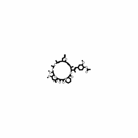 C=CCC1C=C(C)CC(C)CC(OC)C2OC(O)(C(=O)C(=O)N3CCCCC3C(=O)OC(C(C)=CC3CCC(OC(C)=O)C(OC)C3)C(C)C=CC1=O)C(C)CC2OC